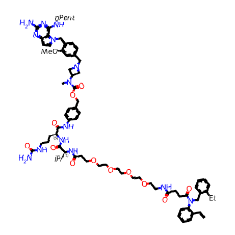 C=Cc1ccccc1N(Cc1ccccc1CC)C(=O)CCC(=O)NCCOCCOCCOCCOCCC(=O)N[C@H](C(=O)N[C@@H](CCCNC(N)=O)C(=O)Nc1ccc(COC(=O)N(C)C2CN(Cc3ccc(Cn4ccc5nc(N)nc(NCCCCC)c54)c(OC)c3)C2)cc1)C(C)C